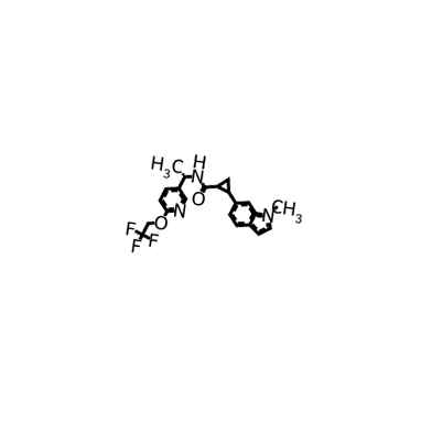 C[C@@H](NC(=O)C1CC1c1ccc2ccn(C)c2c1)c1ccc(OCC(F)(F)F)nc1